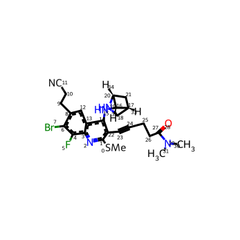 CSc1nc2c(F)c(Br)c(CCC#N)cc2c(N[C@H]2[C@H]3CN[C@@H]2C3)c1C#CCCC(=O)N(C)C